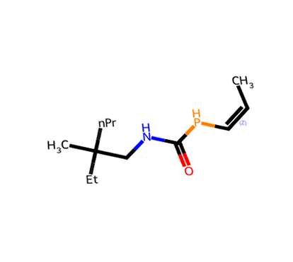 C/C=C\PC(=O)NCC(C)(CC)CCC